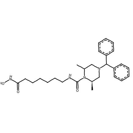 CC1CN(C(c2ccccc2)c2ccccc2)C[C@@H](C)N1C(=O)NCCCCCCC(=O)NO